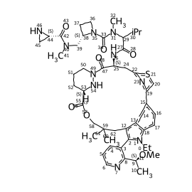 CCn1c(-c2cccnc2[C@H](C)OC)c2c3cc(ccc31)-c1csc(n1)C[C@H](NC(=O)C(C(C)C)N(C)C(=O)N1CC[C@H]1CN(C)C(=O)[C@@H]1CN1)C(=O)N1CCC[C@H](N1)C(=O)OCC(C)(C)C2